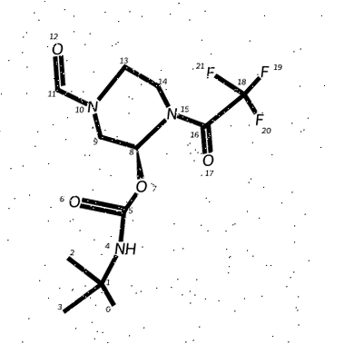 CC(C)(C)NC(=O)O[C@H]1CN(C=O)CCN1C(=O)C(F)(F)F